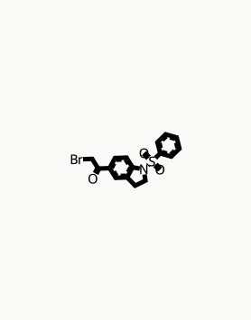 O=C(CBr)c1ccc2c(c1)CCN2S(=O)(=O)c1ccccc1